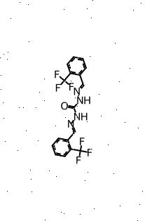 O=C(NN=Cc1ccccc1C(F)(F)F)NN=Cc1ccccc1C(F)(F)F